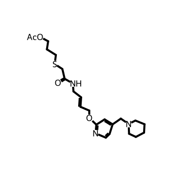 CC(=O)OCCCSCC(=O)NCC=CCOc1cc(CN2CCCCC2)ccn1